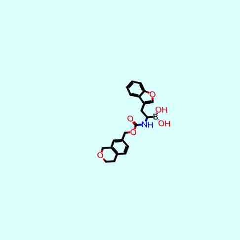 O=C(NC(Cc1coc2ccccc12)B(O)O)OCc1ccc2c(c1)COCC2